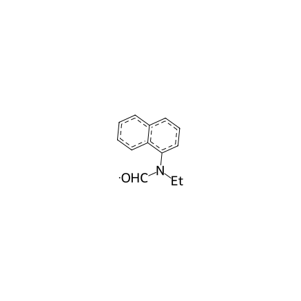 CCN([C]=O)c1cccc2ccccc12